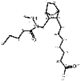 CCCCC(=O)N(CC1C2CCC(O2)C1CCCCCCC(=O)O)NC